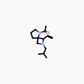 C=CC1N(CC(C)C)CC12CCCN2C(C)=O